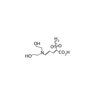 CS(=O)(=O)/C(=C\C=C\N(CCO)CCO)C(=O)O